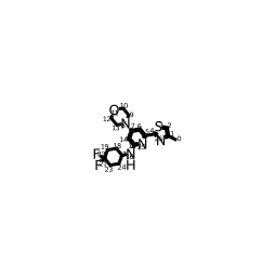 Cc1csc(-c2cc(N3CCOCC3)cc(NC3CCC(F)(F)CC3)n2)n1